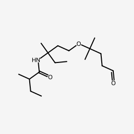 CCC(C)C(=O)NC(C)(CC)CCOC(C)(C)CCC=O